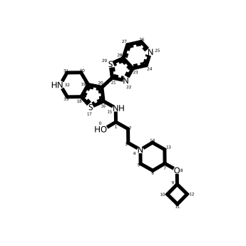 OC(CCN1CCC(OC2CCC2)CC1)Nc1sc2c(c1-c1nc3cnccc3s1)CCNC2